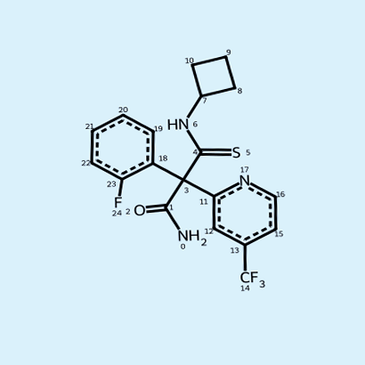 NC(=O)C(C(=S)NC1CCC1)(c1cc(C(F)(F)F)ccn1)c1ccccc1F